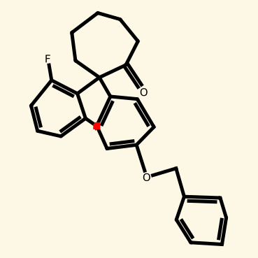 O=C1CCCCCC1(c1ccc(OCc2ccccc2)cc1)c1c(F)cccc1F